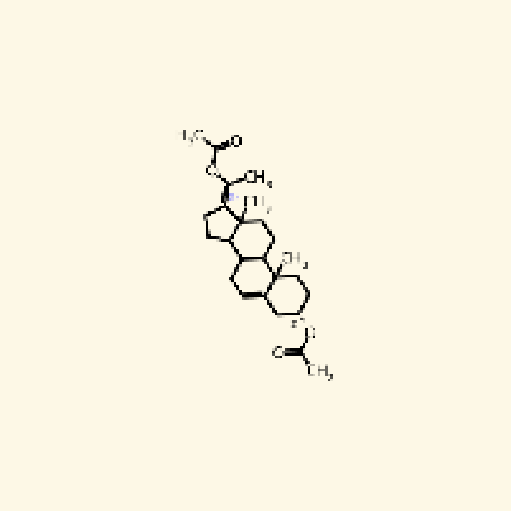 CC(=O)O/C(C)=C1\CCC2C3CC=C4C[C@@H](OC(C)=O)CCC4(C)C3CCC12C